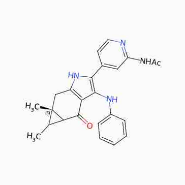 CC(=O)Nc1cc(-c2[nH]c3c(c2Nc2ccccc2)C(=O)C2C(C)[C@]2(C)C3)ccn1